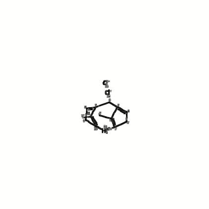 CC1=[C]2CC=C1CC1=CC[C](=C1C)[Hf+2]2.[Cl-].[Cl-]